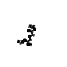 COC(=O)COCC(O)OC